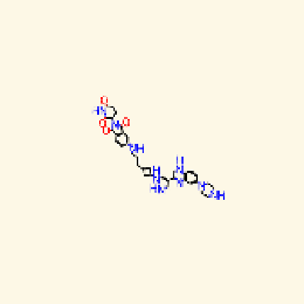 N=C/C(=C\NC1CC(CCCNc2ccc3c(c2)C(=O)N(C2CCC(=O)NC2=O)C3=O)C1)C1=Nc2cc(N3CCNCC3)ccc2NC1